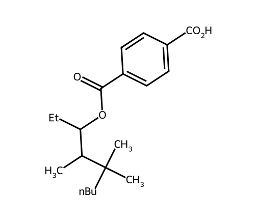 CCCCC(C)(C)C(C)C(CC)OC(=O)c1ccc(C(=O)O)cc1